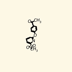 CC(=O)c1ccc(Oc2cccc(S(C)(=O)=O)n2)cc1